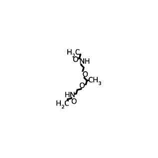 C=CC(=O)NCCCOCC(C)COCCCNC(=O)C=C